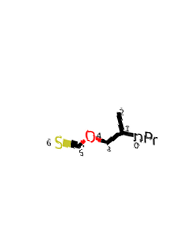 CCCC(C)CO[C]=S